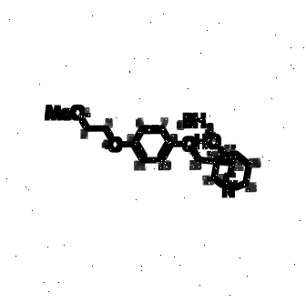 B.COCCOc1ccc(OCC2(O)CN3CCC2CC3)cc1